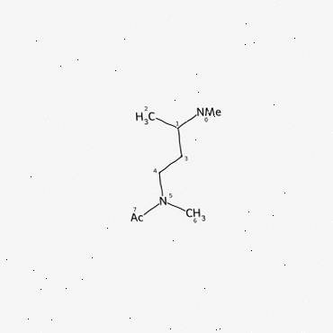 CNC(C)CCN(C)C(C)=O